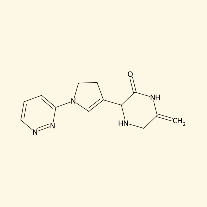 C=C1CNC(C2=CN(c3cccnn3)CC2)C(=O)N1